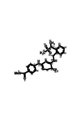 CNC(=O)c1ccc(NC2=NCC(C(F)(F)F)C(NCc3nccnc3N(C)S(C)(=O)=O)=N2)cc1